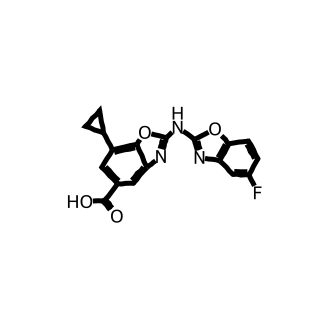 O=C(O)c1cc(C2CC2)c2oc(Nc3nc4cc(F)ccc4o3)nc2c1